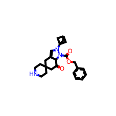 O=C1CC2(CCNCC2)CC2=CN(C34CC(C3)C4)N(C(=O)OCc3ccccc3)C12